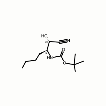 CCCC[C@H](NC(=O)OC(C)(C)C)[C@H](O)C#N